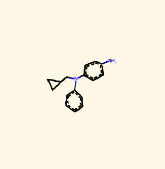 Nc1ccc(N(CC2CC2)c2ccccc2)cc1